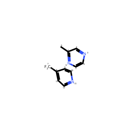 Cc1cn[c]cn1.FC(F)(F)c1c[c]ncc1